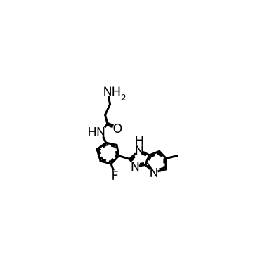 Cc1cnc2nc(-c3cc(NC(=O)CCN)ccc3F)[nH]c2c1